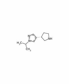 CC(C)n1cc([C@@H]2CCNC2)cn1